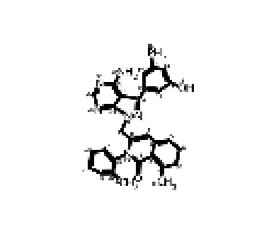 CC1=c2c(cc(Cn3nc(-c4cc(O)cc(P)c4)c4c(N)ncnc43)n(-c3ccccc3C)c2=O)=CCC1